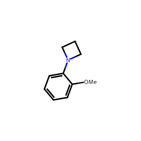 COc1ccccc1N1C[CH]C1